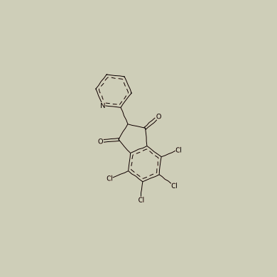 O=C1c2c(Cl)c(Cl)c(Cl)c(Cl)c2C(=O)C1c1ccccn1